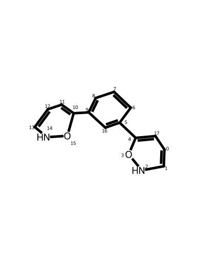 C1=CNOC(c2cccc(C3=CC=CNO3)c2)=C1